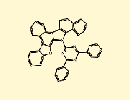 c1ccc(-c2nc(-c3ccccc3)nc(-n3c4c5ccccc5ccc4c4c5ccccc5c5c6ccccc6oc5c43)n2)cc1